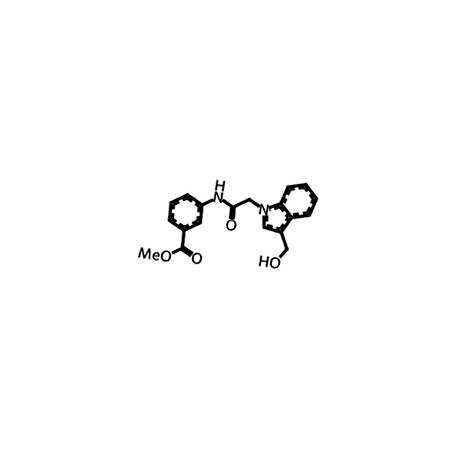 COC(=O)c1cccc(NC(=O)Cn2cc(CO)c3ccccc32)c1